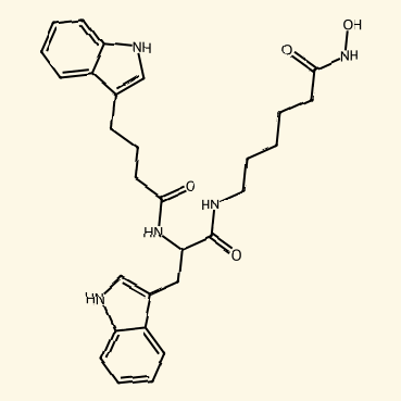 O=C(CCCCCNC(=O)C(Cc1c[nH]c2ccccc12)NC(=O)CCCc1c[nH]c2ccccc12)NO